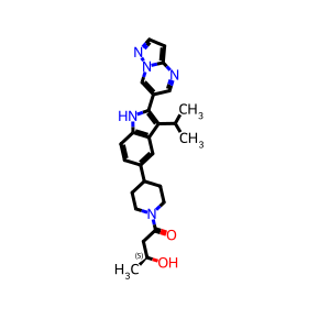 CC(C)c1c(-c2cnc3ccnn3c2)[nH]c2ccc(C3CCN(C(=O)C[C@H](C)O)CC3)cc12